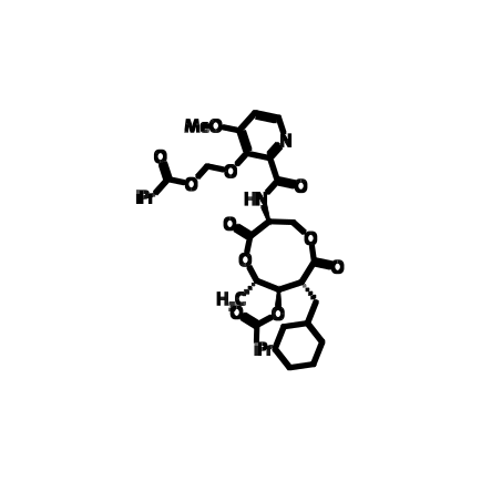 COc1ccnc(C(=O)N[C@H]2COC(=O)[C@H](CC3CCCCC3)[C@@H](OC(=O)C(C)C)[C@H](C)OC2=O)c1OCOC(=O)C(C)C